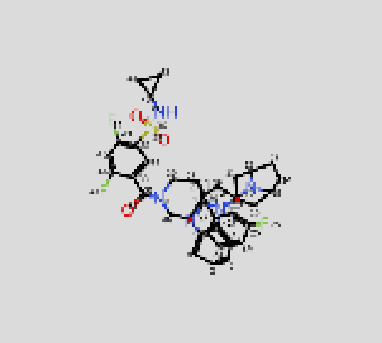 Cc1nc2ccccc2n1C1CC2CCC(C1)N2CCC1(c2cccc(F)c2)CCN(C(=O)c2cc(S(=O)(=O)NC3CC3)c(F)cc2F)CC1